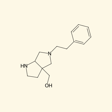 OCC12CCNC1CN(CCc1ccccc1)C2